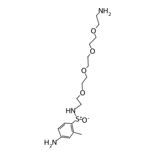 Cc1cc(N)ccc1[S+]([O-])NCCOCCOCCOCCOCCN